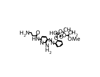 C=C(OC)OC(C)OP(=O)(O)Oc1ccccc1/N=N/c1ccc(NC(=O)CCN)nc1N